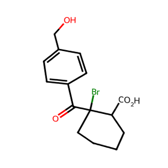 O=C(O)C1CCCCC1(Br)C(=O)c1ccc(CO)cc1